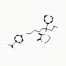 N=C(N)c1ccc(OCCCCC(CC(=O)O)(c2ccncc2)N2CCNC(=O)C2=O)cc1